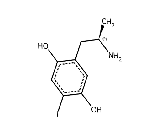 C[C@@H](N)Cc1cc(O)c(I)cc1O